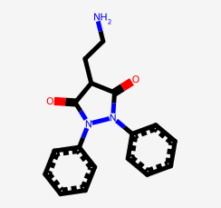 NCCC1C(=O)N(c2ccccc2)N(c2ccccc2)C1=O